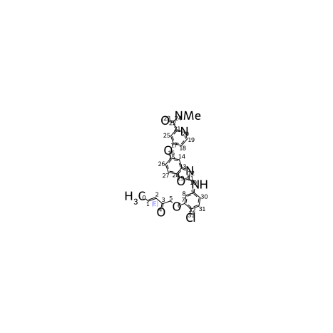 C/C=C/C(=O)COc1cc(Nc2nc3cc(Oc4ccnc(C(=O)NC)c4)ccc3o2)ccc1Cl